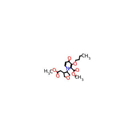 CCCCOc1c(C(=O)OC)n(C2COCC2CC(=O)OC)ccc1=O